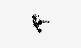 COc1ccc(-c2cc(CN3CCN(C(=O)OC(C)(C)C)CC3)c(=O)n(CCCc3ccc(F)cc3)n2)cc1F